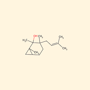 CC(C)=CCC1(C)CCC2CC2(C)C1(C)O